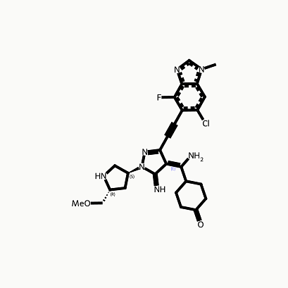 COC[C@H]1C[C@H](N2N=C(C#Cc3c(Cl)cc4c(ncn4C)c3F)/C(=C(\N)C3CCC(=O)CC3)C2=N)CN1